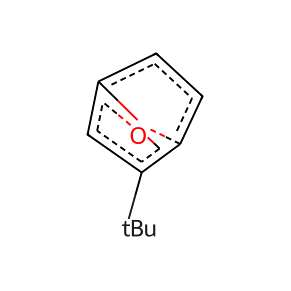 CC(C)(C)c1cc2ccc1o2